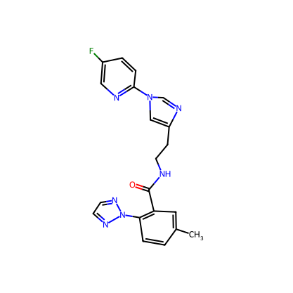 Cc1ccc(-n2nccn2)c(C(=O)NCCc2cn(-c3ccc(F)cn3)cn2)c1